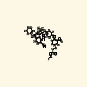 CCOC(=O)CCc1ccc(OC2CCN(CC(O)(c3cn(Cc4ccccc4)c4ccc(C#N)cc34)C(F)(F)F)CC2)c(OC)c1